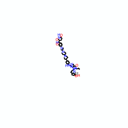 C=CCn1c(=O)c2cnc(Nc3ccc(C4CCN(C5CCN(C6CN(c7ccc8c(C9CCC(=O)NC9=O)noc8c7)C6)CC5)CC4)cc3)nc2n1-c1ccc2c(n1)[C@@](O)(CC)CC2